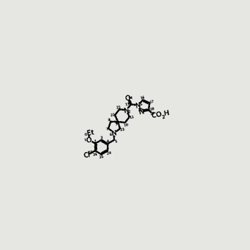 CCOc1cc(CN2CCC3(CCN(C(=O)n4ccc(C(=O)O)n4)CC3)C2)ccc1Cl